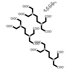 O=C([O-])CN(CCN(CC(=O)[O-])CC(=O)[O-])CC(=O)[O-].O=C([O-])CN(CCN(CC(=O)[O-])CC(=O)[O-])CC(=O)[O-].O=C([O-])CN(CCN(CC(=O)[O-])CC(=O)[O-])CC(=O)[O-].[Eu+3].[Eu+3].[Gd+3].[Gd+3]